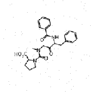 CN(CC(=O)[C@H](Cc1ccccc1)NC(=O)c1ccccc1)C(=O)N1CCC[C@H]1C(=O)O